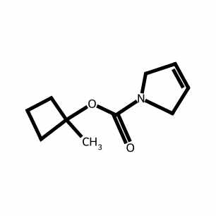 CC1(OC(=O)N2CC=CC2)CCC1